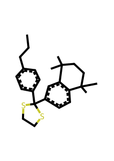 CCCc1ccc(C2(c3ccc4c(c3)C(C)(C)CCC4(C)C)SCCS2)cc1